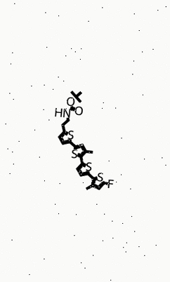 Cc1cc(F)sc1-c1ccc(-c2sc(-c3ccc(CCNC(=O)OC(C)(C)C)s3)cc2C)s1